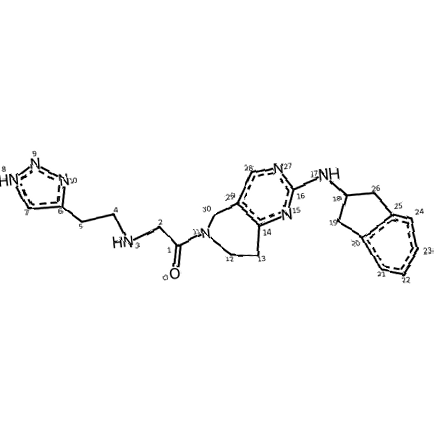 O=C(CNCCc1c[nH]nn1)N1CCc2nc(NC3Cc4ccccc4C3)ncc2C1